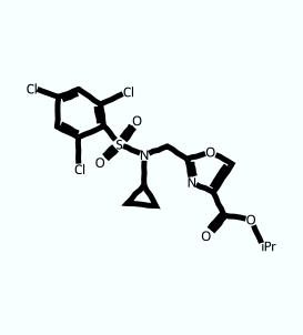 CC(C)OC(=O)c1coc(CN(C2CC2)S(=O)(=O)c2c(Cl)cc(Cl)cc2Cl)n1